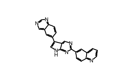 c1cnc2ccc(-c3ncc4c(-c5ccc6ncncc6c5)c[nH]c4n3)cc2c1